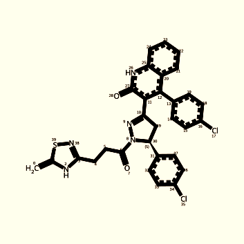 C=C1NC(CCC(=O)N2N=C(c3c(-c4ccc(Cl)cc4)c4ccccc4[nH]c3=O)C[C@H]2c2ccc(Cl)cc2)=NS1